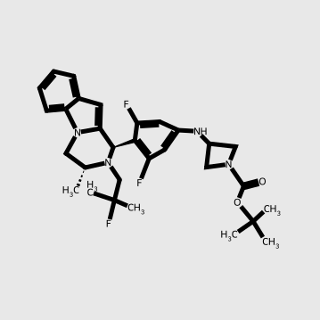 C[C@@H]1Cn2c(cc3ccccc32)[C@@H](c2c(F)cc(NC3CN(C(=O)OC(C)(C)C)C3)cc2F)N1CC(C)(C)F